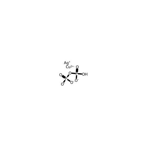 O=P([O-])([O-])OP(=O)([O-])O.[Ag+].[Cu+2]